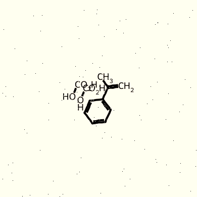 C=C(C)c1ccccc1.O=C(O)O.O=C(O)O